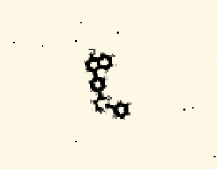 Clc1ccc(-c2ccc(C3CC=NC(c4ccccc4)=N3)cc2)c2ccccc12